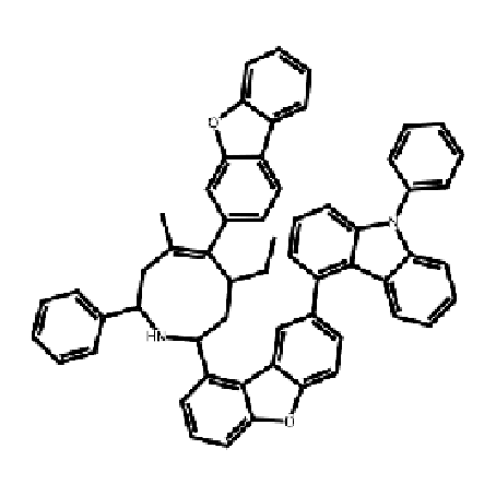 CCC1CC(c2cccc3oc4ccc(-c5cccc6c5c5ccccc5n6-c5ccccc5)cc4c23)NC(c2ccccc2)C/C(C)=C\1c1ccc2c(c1)oc1ccccc12